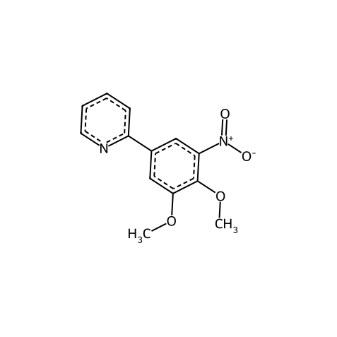 COc1cc(-c2ccccn2)cc([N+](=O)[O-])c1OC